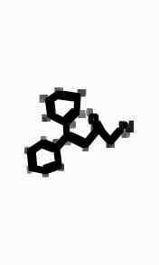 O=C(C=C(c1ccccc1)c1ccccc1)[CH2][Pd]